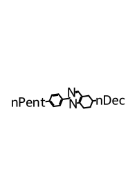 CCCCCCCCCCC1CCc2nc(-c3ccc(CCCCC)cc3)ncc2C1